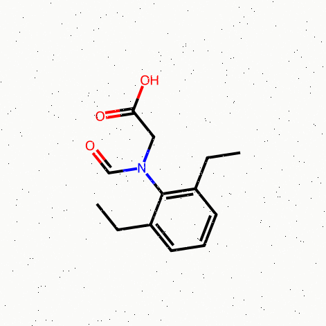 CCc1cccc(CC)c1N(C=O)CC(=O)O